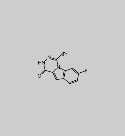 CC(C)c1n[nH]c(=O)c2cc3ccc(F)cc3n12